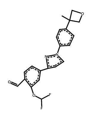 CC1(c2ccc(-n3ccc(-c4ccc(C=O)c(OC(F)F)c4)n3)cc2)COC1